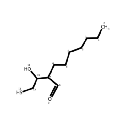 CCCCCCCC([C]=O)C(O)CS